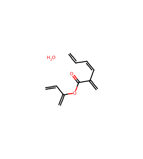 C=C/C=C\C(=C)C(=O)OC(=C)C=C.O